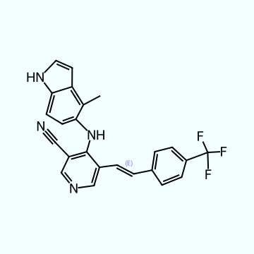 Cc1c(Nc2c(C#N)cncc2/C=C/c2ccc(C(F)(F)F)cc2)ccc2[nH]ccc12